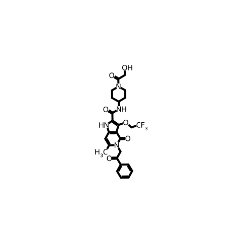 Cc1cc2[nH]c(C(=O)NC3CCN(C(=O)CO)CC3)c(OCC(F)(F)F)c2c(=O)n1CC(=O)c1ccccc1